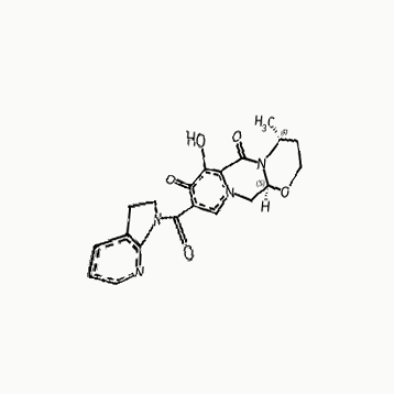 C[C@@H]1CCO[C@H]2Cn3cc(C(=O)N4CCc5cccnc54)c(=O)c(O)c3C(=O)N12